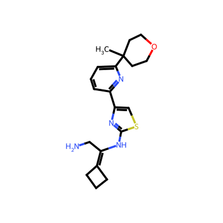 CC1(c2cccc(-c3csc(NC(CN)=C4CCC4)n3)n2)CCOCC1